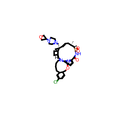 C[C@@H]1[C@@H](C)C/C=C/[C@]2(CN3CCN(C4COC4)CC3)C[C@@]23CC[C@H]3CN2CCCCC3C=C(Cl)C=CC3COc3ccc(nc32)C(=O)NS1(=O)=O